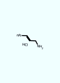 CCCC=CCN.Cl